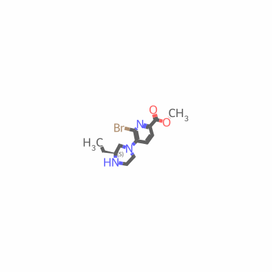 CC[C@H]1CN(c2ccc(C(=O)OC)nc2Br)CCN1